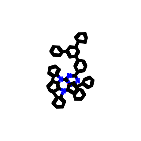 c1ccc(-c2ccc(-n3c4ccccc4c4ccc5c6ccccc6n(-c6nc(-c7ccccc7)nc(-c7cccc(-c8cc(-c9ccccc9)cc(-c9ccccc9)c8)c7)n6)c5c43)cc2)cc1